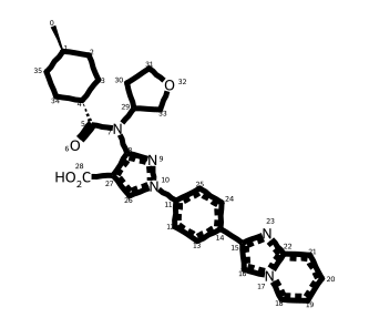 C[C@H]1CC[C@H](C(=O)N(c2nn(-c3ccc(-c4cn5ccccc5n4)cc3)cc2C(=O)O)C2CCOC2)CC1